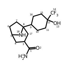 NC(=O)C1CC2CCC(C3CCC(O)(C(F)(F)F)CC3)(C1)N2